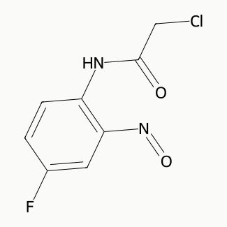 O=Nc1cc(F)ccc1NC(=O)CCl